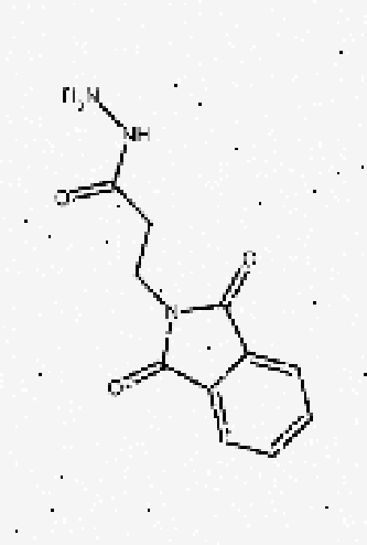 NNC(=O)CCN1C(=O)c2ccccc2C1=O